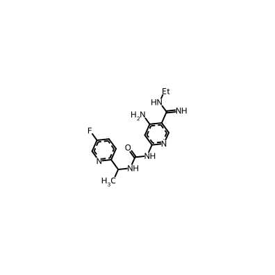 CCNC(=N)c1cnc(NC(=O)NC(C)c2ccc(F)cn2)cc1N